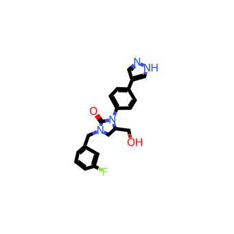 O=C1N(Cc2cccc(F)c2)CC(CO)N1c1ccc(-c2cn[nH]c2)cc1